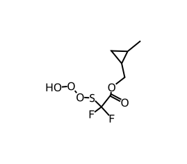 CC1CC1COC(=O)C(F)(F)SOOO